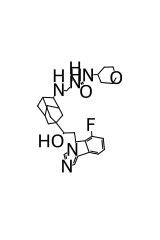 O=C(NCNC1C2CC3CC1CC(C(O)CC1c4c(F)cccc4-c4cncn41)(C3)C2)NC1CCOCC1